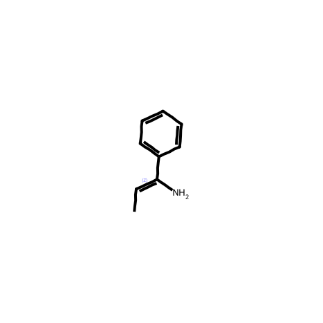 C/C=C(\N)c1ccccc1